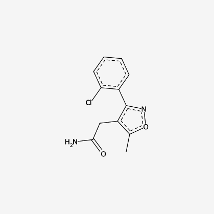 Cc1onc(-c2ccccc2Cl)c1CC(N)=O